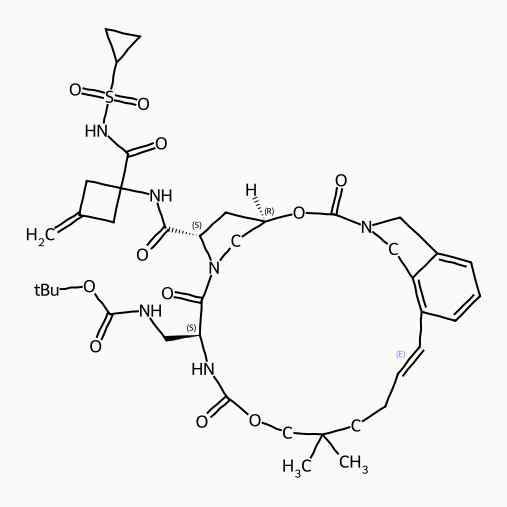 C=C1CC(NC(=O)[C@@H]2C[C@@H]3CN2C(=O)[C@H](CNC(=O)OC(C)(C)C)NC(=O)OCC(C)(C)CC/C=C/c2cccc4c2CN(C4)C(=O)O3)(C(=O)NS(=O)(=O)C2CC2)C1